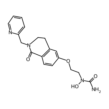 NC(=O)N(O)CCOc1ccc2c(c1)CCN(Cc1ccccn1)C2=O